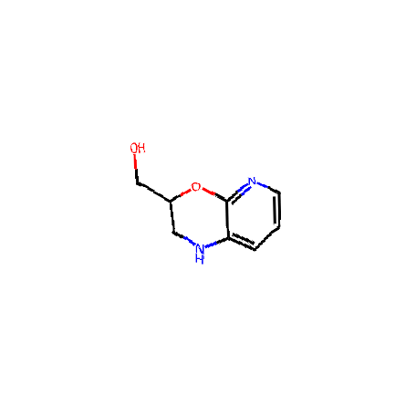 OCC1CNc2cccnc2O1